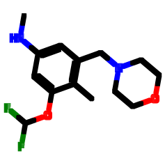 CNc1cc(CN2CCOCC2)c(C)c(OC(F)F)c1